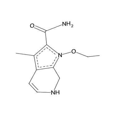 CCOn1c2c(c(C)c1C(N)=O)C=CNC2